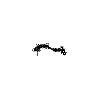 Cc1cccc(F)c1CN1C[C@H](c2ccc(N3CCN(CCCCCCNC(=O)C4CCN(c5ccc6c(c5)C(=O)N(C5CCC(=O)NC5=O)C6=O)CC4)CC3)cc2)[C@@H](N(C)C)C1